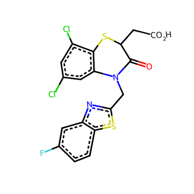 O=C(O)CC1Sc2c(Cl)cc(Cl)cc2N(Cc2nc3cc(F)ccc3s2)C1=O